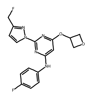 FCc1ccn(-c2nc(Nc3ccc(F)cc3)cc(OC3COC3)n2)n1